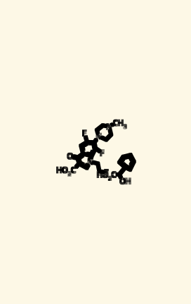 CN1CCN(c2c(F)cc3c(=O)c(C(=O)O)cn(CCF)c3c2F)CC1.O=C(O)C(O)c1ccccc1